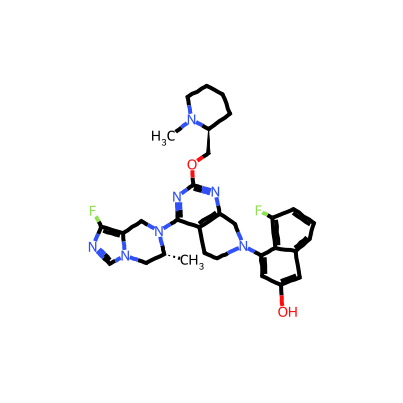 C[C@@H]1Cn2cnc(F)c2CN1c1nc(OC[C@@H]2CCCCN2C)nc2c1CCN(c1cc(O)cc3cccc(F)c13)C2